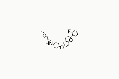 CCOCCCNC1CCC(Oc2ccc3c(c2)CCC(c2ccccc2F)O3)CC1